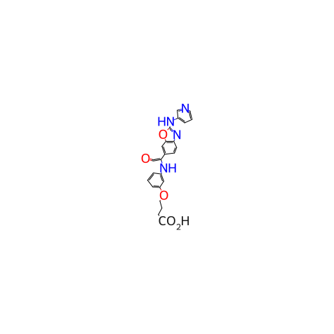 O=C=C(Nc1cccc(OCCCC(=O)O)c1)c1ccc2nc(Nc3cccnc3)oc2c1